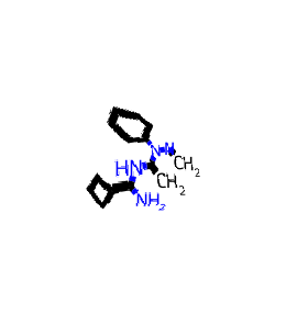 C=NN(C(=C)NC(N)=C1CCC1)c1ccccc1